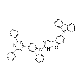 c1ccc(-c2nc(-c3ccccc3)nc(-c3ccc4c(c3)c3ccccc3n4-c3ncc4c(n3)oc3ccc(-n5c6ccccc6c6ccccc65)cc34)n2)cc1